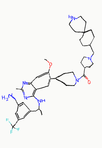 COc1cc2nc(C)nc(NC(C)c3cc(N)cc(C(F)(F)F)c3)c2cc1C1CCN(C(=O)C2CCN(CC3CCC4(CCNCC4)CC3)CC2)CC1